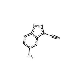 Cc1ccc2nnn(C#N)c2c1